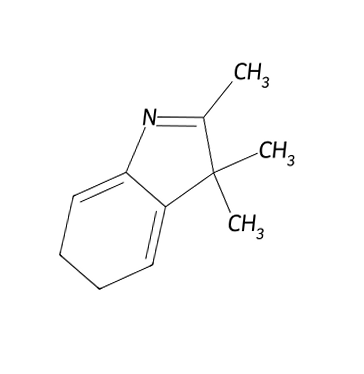 CC1=NC2=CCCC=C2C1(C)C